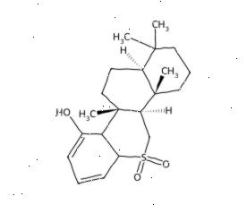 CC1(C)CCC[C@]2(C)[C@H]3CS(=O)(=O)C4C=CC=C(O)C4[C@]3(C)CC[C@@H]12